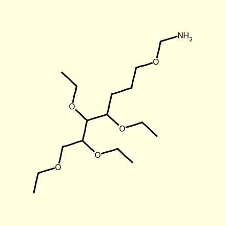 CCOCC(OCC)C(OCC)C(CCCOCN)OCC